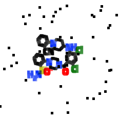 N#Cc1ccccc1N1CCC(Nc2cc(C(=O)N3CCN(c4ccccc4[S+](N)[O-])CC3)c(Cl)cc2Cl)CC1